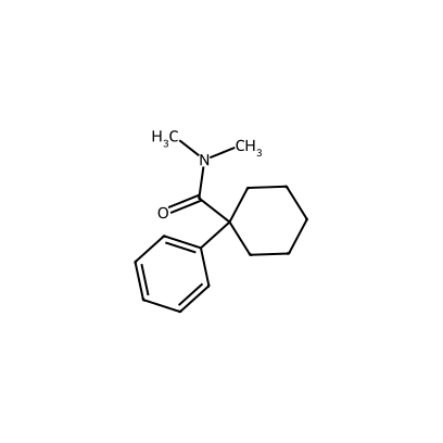 CN(C)C(=O)C1(c2ccccc2)CCCCC1